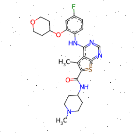 Cc1c(C(=O)NC2CCN(C)CC2)sc2ncnc(Nc3ccc(F)cc3OC3CCOCC3)c12